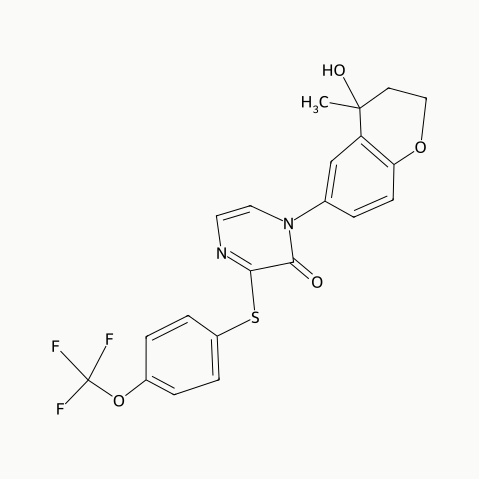 CC1(O)CCOc2ccc(-n3ccnc(Sc4ccc(OC(F)(F)F)cc4)c3=O)cc21